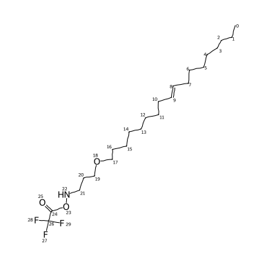 CCCCCCCCC=CCCCCCCCCOCCCNOC(=O)C(F)(F)F